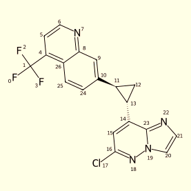 FC(F)(F)c1ccnc2cc([C@H]3C[C@@H]3c3cc(Cl)nn4ccnc34)ccc12